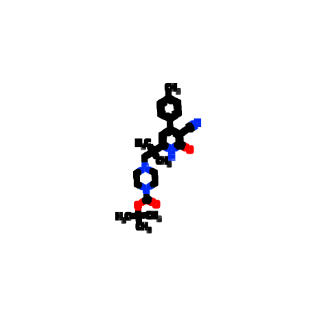 Cc1ccc(-c2cc(C(C)(C)CN3CCN(C(=O)OC(C)(C)C)CC3)[nH]c(=O)c2C#N)cc1